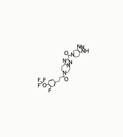 O=C(CCc1ccc(OC(F)(F)F)c(F)c1)N1CCc2nc(C(=O)N3CCc4[nH]nnc4C3)nn2CC1